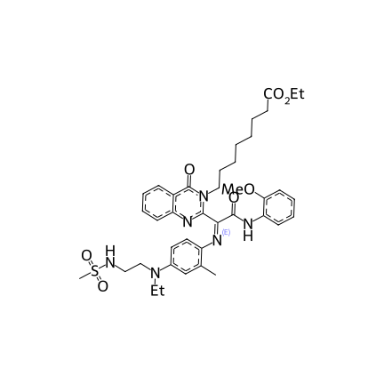 CCOC(=O)CCCCCCCn1c(/C(=N\c2ccc(N(CC)CCNS(C)(=O)=O)cc2C)C(=O)Nc2ccccc2OC)nc2ccccc2c1=O